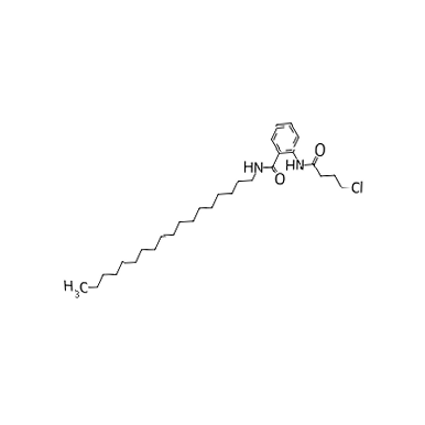 CCCCCCCCCCCCCCCCCCNC(=O)c1ccccc1NC(=O)CCCCl